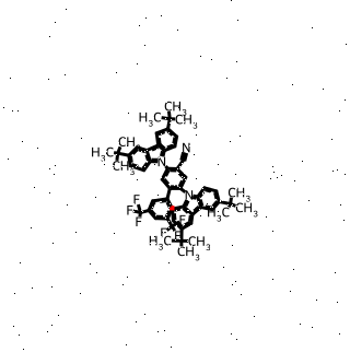 CC(C)(C)c1ccc2c(c1)c1cc(C(C)(C)C)ccc1n2-c1cc(-c2cc(C(F)(F)F)cc(C(F)(F)F)c2)c(-n2c3ccc(C(C)(C)C)cc3c3cc(C(C)(C)C)ccc32)cc1C#N